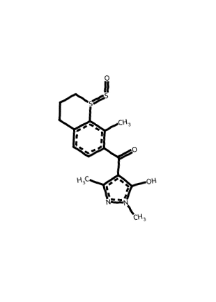 Cc1nn(C)c(O)c1C(=O)c1ccc2c(c1C)S(=S=O)CCC2